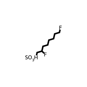 O=S(=O)(O)CC(F)CCCCCCF